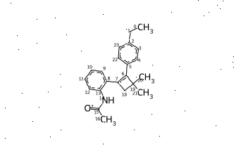 CCc1ccc(C2=C(c3ccccc3NC(C)=O)CC2(C)C)cc1